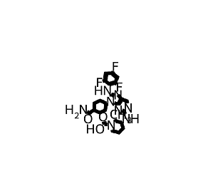 CC1C(Nc2ncc3nc(Nc4c(F)cc(F)cc4F)n(C4CCC(C(N)=O)CC4)c3n2)CCCN1C(=O)O